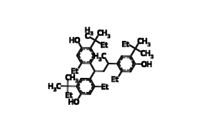 CCc1cc(O)c(C(C)(C)CC)cc1C(C)CC(c1cc(C(C)(C)CC)c(O)cc1CC)c1cc(C(C)(C)CC)c(O)cc1CC